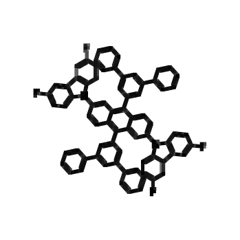 Fc1ccc2c(c1)c1cc(F)ccc1n2-c1ccc2c(-c3cc(-c4ccccc4)cc(-c4ccccc4)c3)c3cc(-n4c5ccc(F)cc5c5cc(F)ccc54)ccc3c(-c3cc(-c4ccccc4)cc(-c4ccccc4)c3)c2c1